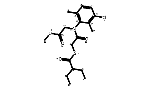 CCC(CC)C(=O)SCC(=O)N(CC(=O)OC)c1c(C)ccc(Cl)c1C